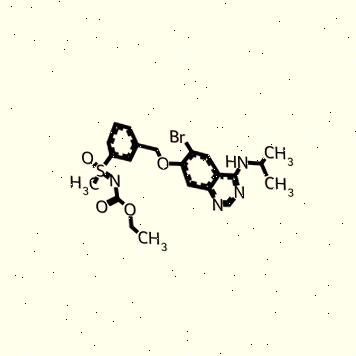 CCOC(=O)N=S(C)(=O)c1cccc(COc2cc3ncnc(NC(C)C)c3cc2Br)c1